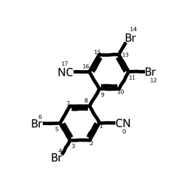 N#Cc1cc(Br)c(Br)cc1-c1cc(Br)c(Br)cc1C#N